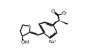 C[C@H](C(=O)[O-])c1ccc(/C=C2\SCC[C@@H]2O)cc1.[Na+]